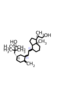 C=C1CC[C@H](CC(C)(C)[Si](C)(C)O)C/C1=C\C=C1/CCC[C@@]2(C)C1CCC2[C@H](C)CO